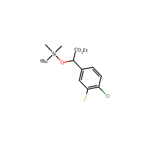 CCOC(=O)C(O[Si](C)(C)C(C)(C)C)c1ccc(Cl)c(F)c1